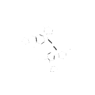 COc1ccc([C@@]2(C#CC#C[C@]3(c4ccc(OC)c(OC5CCCC5)c4)CCCC(O)C3)CCCC(O)C2)cc1OC1CCCC1